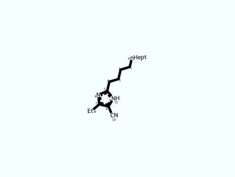 CCCCCCCCCCCc1nc(CC)c(C#N)[nH]1